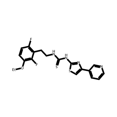 CCOc1ccc(F)c(CCNC(=S)Nc2nc(-c3cccnc3)cs2)c1F